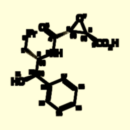 CC(C)C[C@H](NC(=O)[C@@H]1O[C@H]1C(=O)O)[C@H](O)c1ccccc1